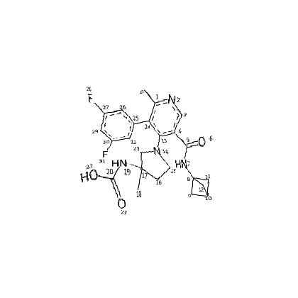 Cc1ncc(C(=O)NC23CC(C2)C3)c(N2CCC(C)(NC(=O)O)C2)c1-c1cc(F)cc(F)c1